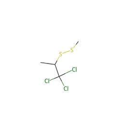 CSSC(C)C(Cl)(Cl)Cl